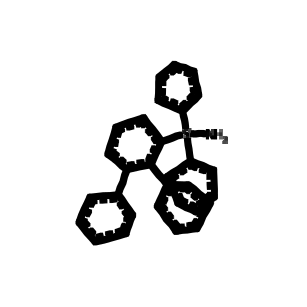 N[Si](c1ccccc1)(c1ccccc1)c1cccc(-c2ccccc2)c1-c1ccccc1